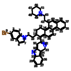 Brc1ccc2c(ccn2CCC2CCc3c4c(ccc3=C2C2=NCC3=c5c[c]ccc5=NC3=C2)=c2ccccc2=CC4CCN2CCCCC2)c1